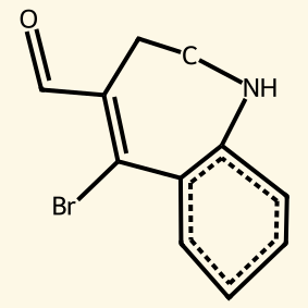 O=CC1=C(Br)c2ccccc2NCC1